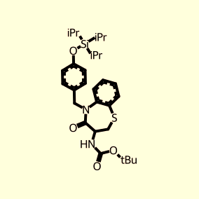 CC(C)[Si](Oc1ccc(CN2C(=O)C(NC(=O)OC(C)(C)C)CSc3ccccc32)cc1)(C(C)C)C(C)C